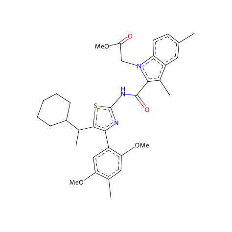 COC(=O)Cn1c(C(=O)Nc2nc(-c3cc(OC)c(C)cc3OC)c(C(C)C3CCCCC3)s2)c(C)c2cc(C)ccc21